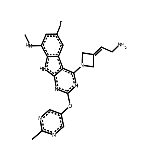 CNc1cc(F)cc2c1[nH]c1nc(Oc3cnc(C)nc3)nc(N3CC(=CCN)C3)c12